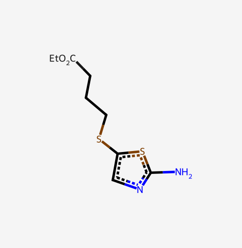 CCOC(=O)CCCSc1cnc(N)s1